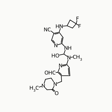 CN1CCN(Cc2ccc(N(C)C(O)Nc3cc(NC4CC(F)(F)C4)c(C#N)cn3)nc2C=O)C(=O)C1